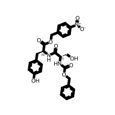 O=C(N[C@@H](CO)C(=O)N[C@@H](Cc1ccc(O)cc1)C(=O)OCc1ccc([N+](=O)[O-])cc1)OCc1ccccc1